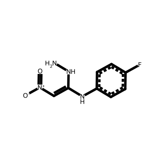 NN/C(=C\[N+](=O)[O-])Nc1ccc(F)cc1